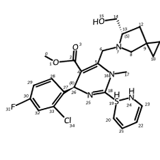 COC(=O)C1=C(CN2CC3(CC3)C[C@H]2CO)N(C)C([SH]2C=CC=CN2)=N[C@H]1c1ccc(F)cc1Cl